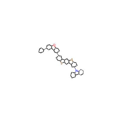 C1=Cc2c(n(-c3ccc4sc5cc6c(cc5c4c3)sc3ccc(-c4ccc5oc7ccc(-c8ccccc8)cc7c5c4)cc36)c3ccccc23)CC1